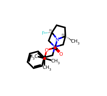 CC(C)(C)OC(=O)N1[C@@]2(C)CC[C@]1(F)CN(Cc1ccccc1)C2